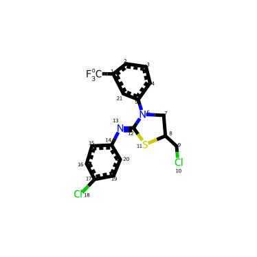 FC(F)(F)c1cccc(N2CC(CCl)SC2=Nc2ccc(Cl)cc2)c1